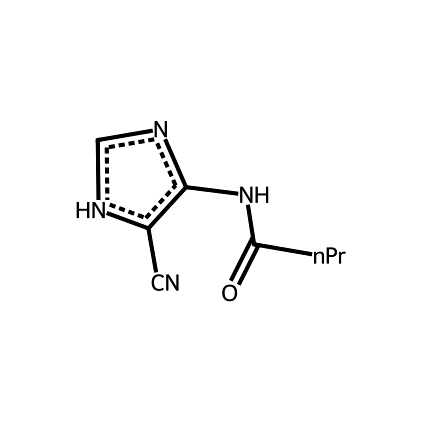 CCCC(=O)Nc1nc[nH]c1C#N